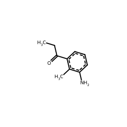 CCC(=O)c1cccc(N)c1C